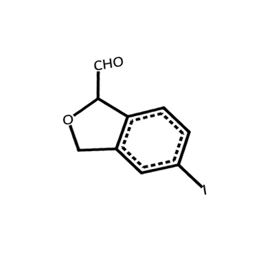 O=CC1OCc2cc(I)ccc21